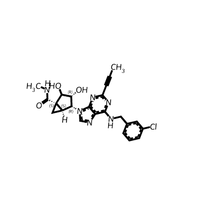 CC#Cc1nc(NCc2cccc(Cl)c2)c2ncn([C@@H]3[C@H]4C[C@@]4(C(=O)NC)C(O)[C@@H]3O)c2n1